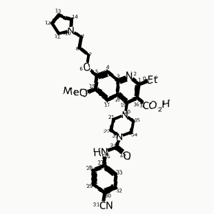 CCc1nc2cc(OCCCN3CCCC3)c(OC)cc2c(N2CCN(C(=O)Nc3ccc(C#N)cc3)CC2)c1C(=O)O